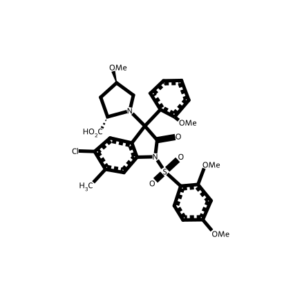 COc1ccc(S(=O)(=O)N2C(=O)C(c3ccccc3OC)(N3C[C@H](OC)C[C@H]3C(=O)O)c3cc(Cl)c(C)cc32)c(OC)c1